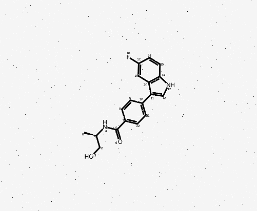 C[C@H](CO)NC(=O)c1ccc(-c2c[nH]c3ccc(F)cc23)cc1